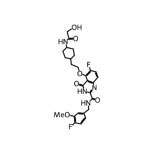 COc1cc(CNC(=O)c2nc3ccc(F)c(OCCC4CCC(NC(=O)CO)CC4)c3c(=O)[nH]2)ccc1F